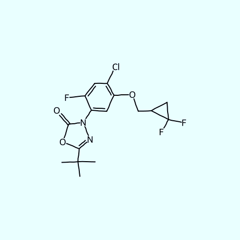 CC(C)(C)c1nn(-c2cc(OCC3CC3(F)F)c(Cl)cc2F)c(=O)o1